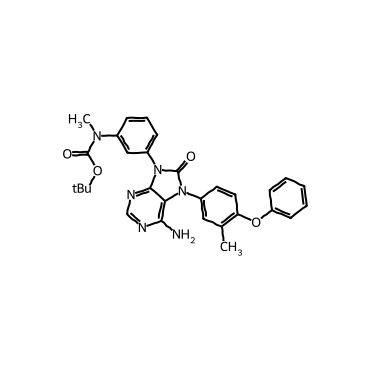 Cc1cc(-n2c(=O)n(-c3cccc(N(C)C(=O)OC(C)(C)C)c3)c3ncnc(N)c32)ccc1Oc1ccccc1